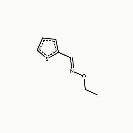 CCON=Cc1cc[c]s1